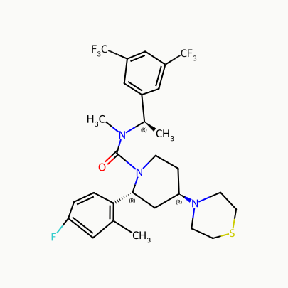 Cc1cc(F)ccc1[C@H]1C[C@H](N2CCSCC2)CCN1C(=O)N(C)[C@H](C)c1cc(C(F)(F)F)cc(C(F)(F)F)c1